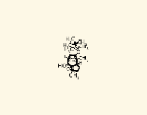 CC(C)(C)[Si](C)(C)O[C@@H]1C[C@]2(I)O[C@@]1(C)[C@@H]1CC[C@@]3(C)OC13[C@@H]2O